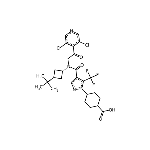 CC(C)(C)[C@H]1C[C@H](N(CC(=O)c2c(Cl)cncc2Cl)C(=O)c2cnn(C3CCC(C(=O)O)CC3)c2C(F)(F)F)C1